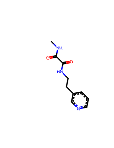 CNC(=O)C(=O)NCCc1cccnc1